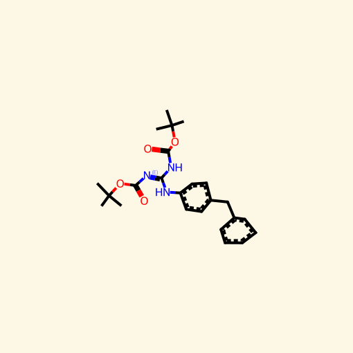 CC(C)(C)OC(=O)/N=C(/NC(=O)OC(C)(C)C)Nc1ccc(Cc2ccccc2)cc1